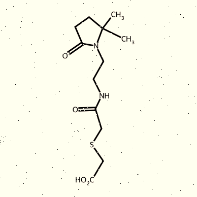 CC1(C)CCC(=O)N1CCNC(=O)CSCC(=O)O